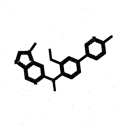 CCc1cc(-c2ccc(C)nc2)ccc1N(C)c1cc2c(cn1)ncn2C